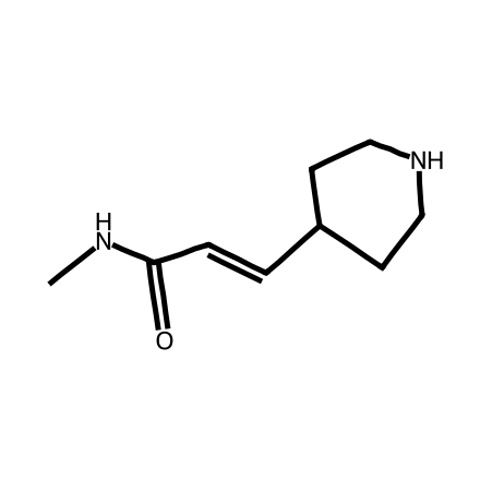 CNC(=O)C=CC1CCNCC1